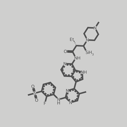 CC[C@@H](C(=O)Nc1nccc2c(-c3nc(Nc4cccc(S(C)(=O)=O)c4F)ncc3C)c[nH]c12)C([SiH3])N1CCN(C)CC1